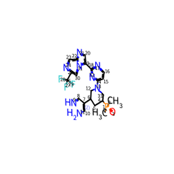 CP(C)(=O)C1CC(/C(C=N)=C/N)CN(c2ccnc(-c3cnc4cnc(C(F)(F)F)cn34)n2)C1